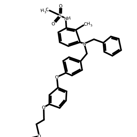 Cc1c(NS(C)(=O)=O)cccc1N(Cc1ccccc1)Cc1ccc(Oc2cccc(OCCOC(C)C)c2)cc1